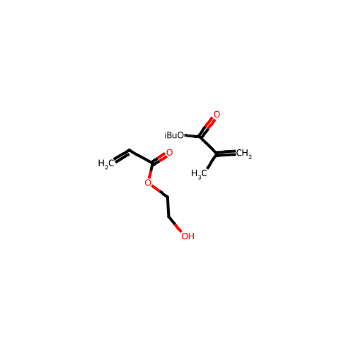 C=C(C)C(=O)OCC(C)C.C=CC(=O)OCCO